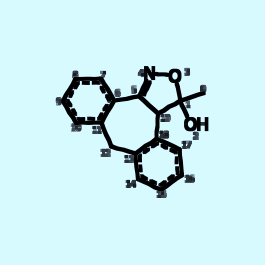 CC1(O)ON=C2c3ccccc3Cc3ccccc3C21